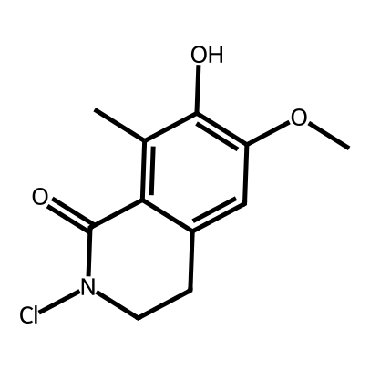 COc1cc2c(c(C)c1O)C(=O)N(Cl)CC2